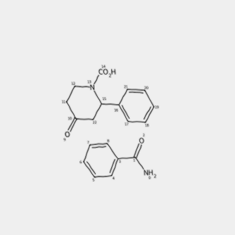 NC(=O)c1ccccc1.O=C1CCN(C(=O)O)C(c2ccccc2)C1